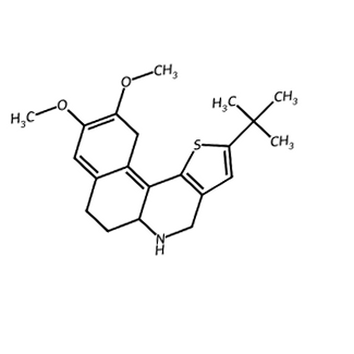 COC1=C(OC)CC2=C3c4sc(C(C)(C)C)cc4CNC3CCC2=C1